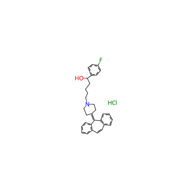 Cl.OC(CCCCN1CCC(=C2c3ccccc3C=Cc3ccccc32)CC1)c1ccc(F)cc1